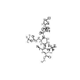 CCOC(=O)C1=CC(C#N)=C(N2CCN(C(=O)NS(=O)(=O)c3ccc(Cl)s3)C(CCC(=O)OC(C)(C)C)C2)N(C(F)(F)F)C1